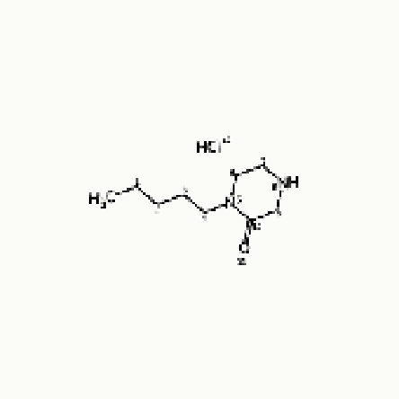 CCCCCN1CCNCC1=O.Cl